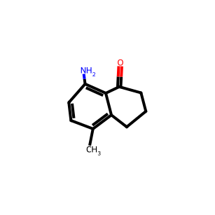 Cc1ccc(N)c2c1CCCC2=O